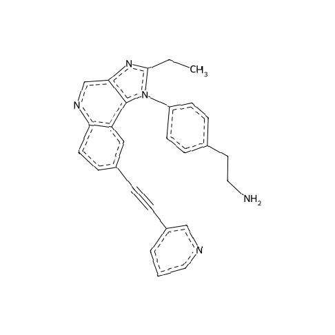 CCc1nc2cnc3ccc(C#Cc4cccnc4)cc3c2n1-c1ccc(CCN)cc1